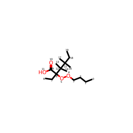 CCCCOOC(CC)(C(=O)O)C(C)(C)C(C)(C)CC